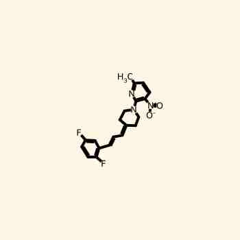 Cc1ccc([N+](=O)[O-])c(N2CCC(=CC=Cc3cc(F)ccc3F)CC2)n1